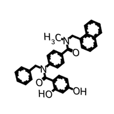 CN(Cc1cccc2ccccc12)C(=O)c1ccc(N(Cc2ccccc2)C(=O)c2ccc(O)cc2O)cc1